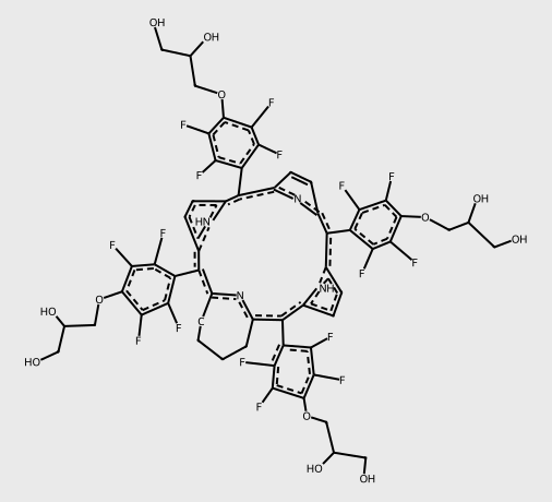 OCC(O)COc1c(F)c(F)c(-c2c3nc(c(-c4c(F)c(F)c(OCC(O)CO)c(F)c4F)c4ccc([nH]4)c(-c4c(F)c(F)c(OCC(O)CO)c(F)c4F)c4nc(c(-c5c(F)c(F)c(OCC(O)CO)c(F)c5F)c5ccc2[nH]5)CCCC4)C=C3)c(F)c1F